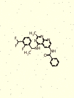 Cc1nc(N[C@H](C)c2cccc(C(F)F)c2F)c2cc(NC(=O)c3ccccc3)cnc2n1